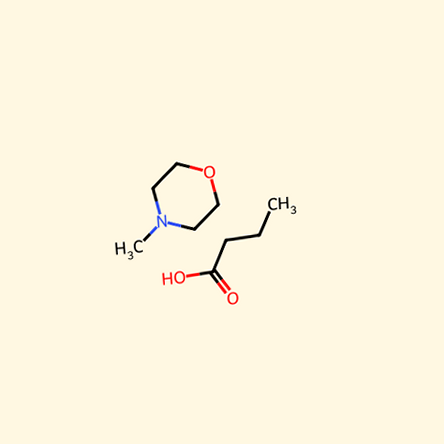 CCCC(=O)O.CN1CCOCC1